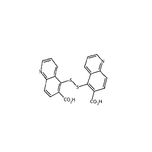 O=C(O)c1ccc2ncccc2c1SSc1c(C(=O)O)ccc2ncccc12